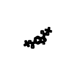 CC(C)(C)OC(=O)c1csc2c1=CCN(C(=O)OC(C)(C)C)C=2